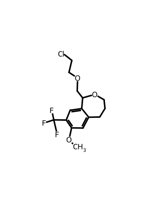 COc1cc2c(cc1C(F)(F)F)C(COCCCl)OCCC2